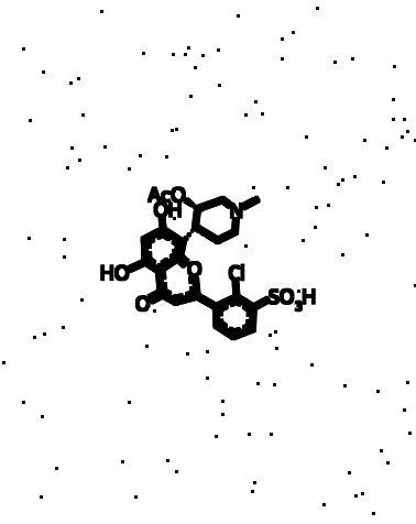 CC(=O)O[C@H]1CN(C)CC[C@@H]1c1c(O)cc(O)c2c(=O)cc(-c3cccc(S(=O)(=O)O)c3Cl)oc12